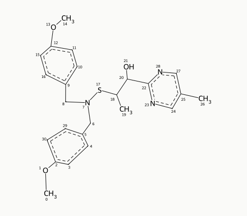 COc1ccc(CN(Cc2ccc(OC)cc2)SC(C)C(O)c2ncc(C)cn2)cc1